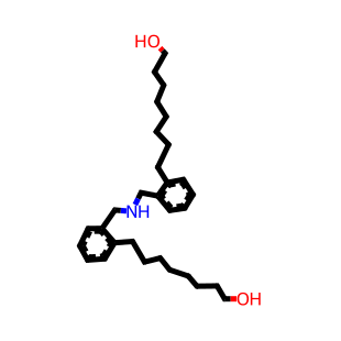 OCCCCCCCCc1ccccc1CNCc1ccccc1CCCCCCCCO